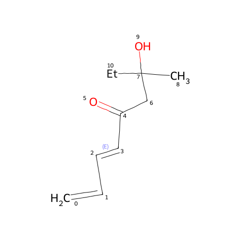 C=C/C=C/C(=O)CC(C)(O)CC